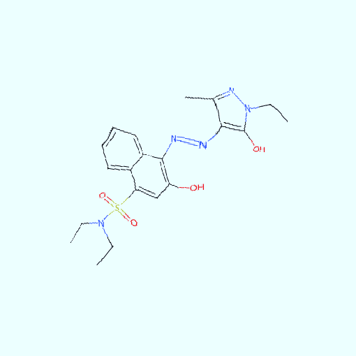 CCN(CC)S(=O)(=O)c1cc(O)c(/N=N/c2c(C)nn(CC)c2O)c2ccccc12